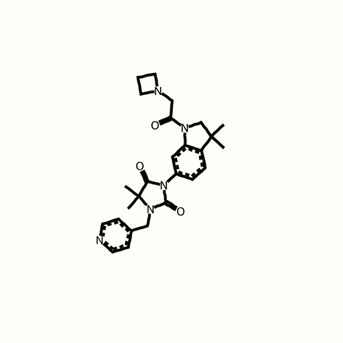 CC1(C)CN(C(=O)CN2CCC2)c2cc(N3C(=O)N(Cc4ccncc4)C(C)(C)C3=O)ccc21